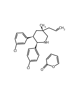 C=CC[C@]1(C)CN[C@@H](c2ccc(Cl)cc2)[C@@H](c2cccc(Cl)c2)C1.O=c1cccco1